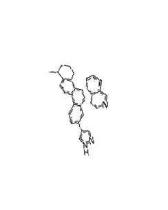 CC1CCCc2c1ccc1c2ccc2cc(-c3cn[nH]c3)ccc21.c1ccc2cnccc2c1